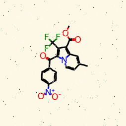 COC(=O)c1c(C(F)(F)F)c(C(=O)c2ccc([N+](=O)[O-])cc2)n2ccc(C)cc12